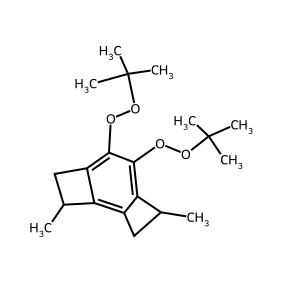 CC1Cc2c(OOC(C)(C)C)c(OOC(C)(C)C)c3c(c21)CC3C